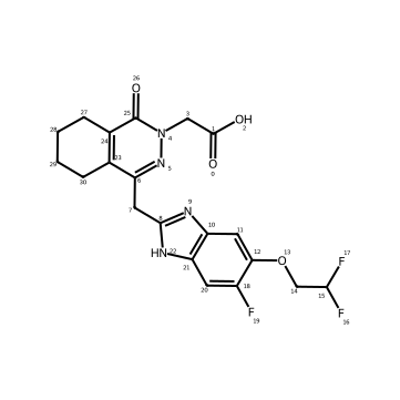 O=C(O)Cn1nc(Cc2nc3cc(OCC(F)F)c(F)cc3[nH]2)c2c(c1=O)CCCC2